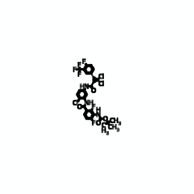 CC(C)(C)OC(=O)Nc1c(F)ccc(C(=O)Nc2cc(NC(=O)[C@H]3[C@H](c4ccc(F)c(C(F)(F)F)c4)C3(Cl)Cl)ccc2Cl)c1F